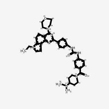 CCn1ccc2c3nc(-c4ccc(NC(=O)Nc5ccc(C(=O)N6CCC(N(C)C)CC6)cc5)cc4)nc(N4CCOCC4)c3ccc21